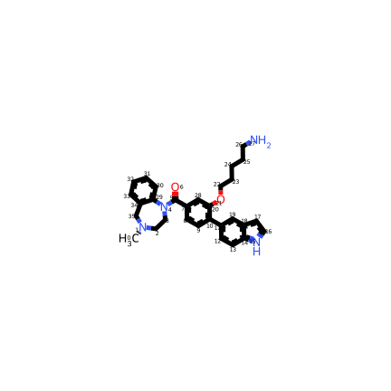 CN1CCN(C(=O)c2ccc(-c3ccc4[nH]ccc4c3)c(OCCCCCN)c2)c2ccccc2C1